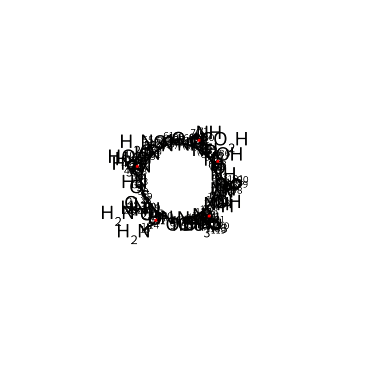 CCCC[C@H]1C(=O)N(C)[C@@H](CCCC)C(=O)N[C@@H](CCCCN)C(=O)N[C@H](C(=O)NCC(N)=O)CSCC(=O)N[C@@H](Cc2ccc(O)cc2)C(=O)N(C)[C@@H](C)C(=O)N[C@@H](CC(N)=O)C(=O)N2CCC[C@H]2C(=O)N[C@@H](Cc2c[nH]cn2)C(=O)N[C@@H](CCC(=O)O)C(=O)N2C[C@H](O)C[C@H]2C(=O)N[C@@H](Cc2c[nH]c3ccccc23)C(=O)N[C@@H](CO)C(=O)N[C@@H](Cc2c[nH]c3ccccc23)C(=O)N1C